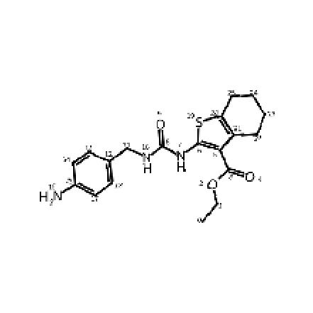 CCOC(=O)c1c(NC(=O)NCc2ccc(N)cc2)sc2c1CCCC2